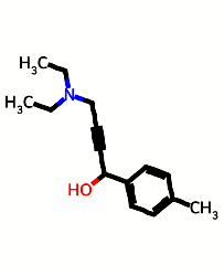 CCN(CC)CC#CC(O)c1ccc(C)cc1